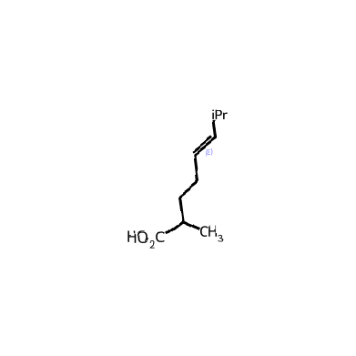 CC(C)/C=C/CCC(C)C(=O)O